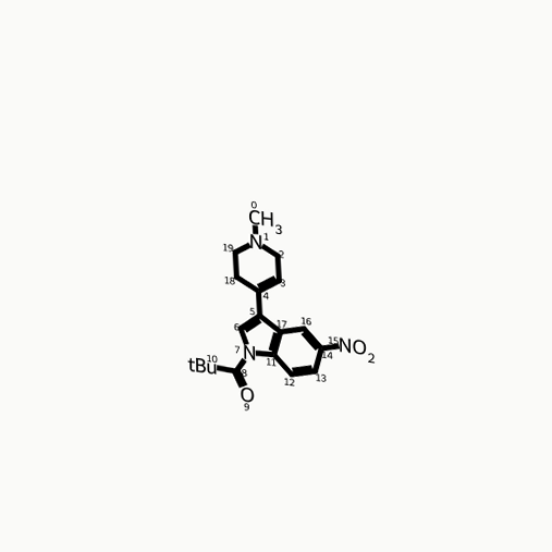 CN1CC=C(c2cn(C(=O)C(C)(C)C)c3ccc([N+](=O)[O-])cc23)CC1